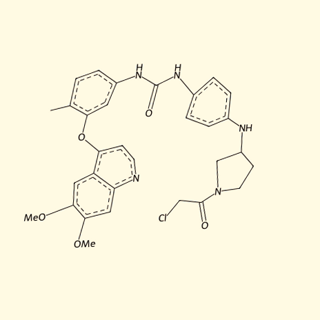 COc1cc2nccc(Oc3cc(NC(=O)Nc4ccc(NC5CCN(C(=O)CCl)C5)cc4)ccc3C)c2cc1OC